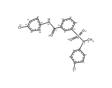 CN(c1ccc(Cl)cc1)S(=O)(=O)c1cccc(C(=O)Nc2ccc(Cl)cn2)c1